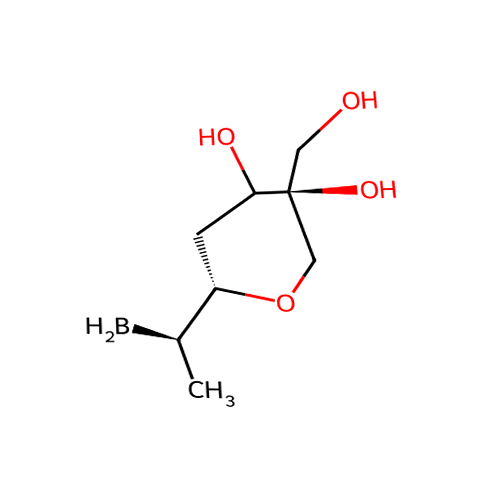 B[C@H](C)[C@@H]1CC(O)[C@](O)(CO)CO1